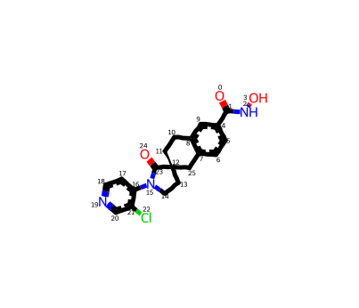 O=C(NO)c1ccc2c(c1)CC[C@]1(CCN(c3ccncc3Cl)C1=O)C2